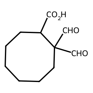 O=CC1(C=O)CCCCCCC1C(=O)O